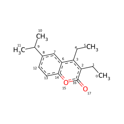 CCc1c(CC)c2cc(C(C)C)ccc2oc1=O